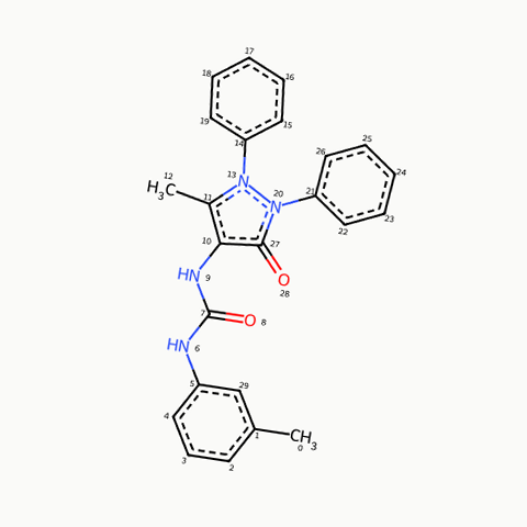 Cc1cccc(NC(=O)Nc2c(C)n(-c3ccccc3)n(-c3ccccc3)c2=O)c1